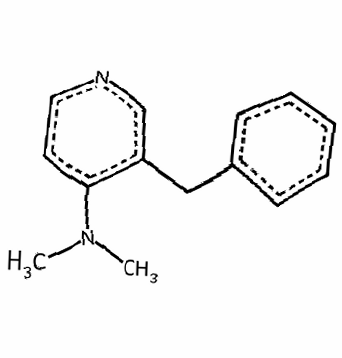 CN(C)c1ccncc1Cc1ccccc1